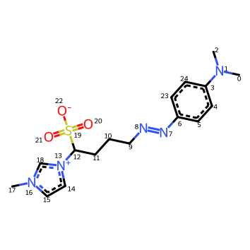 CN(C)c1ccc(N=NCCCC([n+]2ccn(C)c2)S(=O)(=O)[O-])cc1